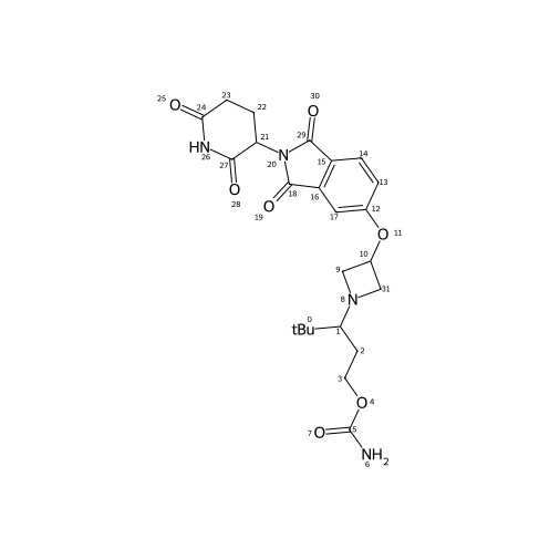 CC(C)(C)C(CCOC(N)=O)N1CC(Oc2ccc3c(c2)C(=O)N(C2CCC(=O)NC2=O)C3=O)C1